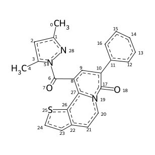 Cc1cc(C)n(C(=O)c2cc(-c3ccccc3)c(=O)n3ccc4ccsc4c23)n1